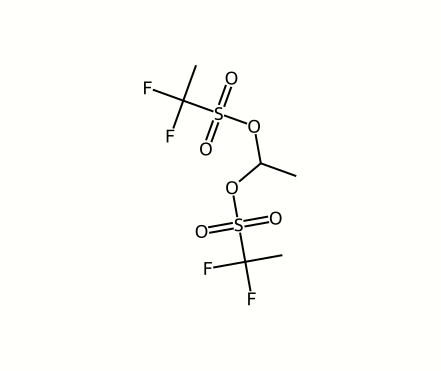 CC(OS(=O)(=O)C(C)(F)F)OS(=O)(=O)C(C)(F)F